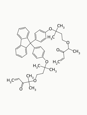 C=CC(=O)C(C)OCCC(C)(C)Oc1ccc(C2(c3ccc(OC(C)(C)CCOC(C)(C)C(=O)C=C)cc3)c3ccccc3-c3ccccc32)cc1